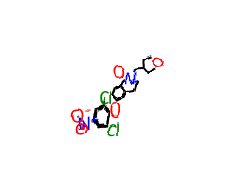 O=C1c2ccc(Oc3c(Cl)cc([N+](=O)[O-])cc3Cl)cc2CCN1CC1CCOCC1